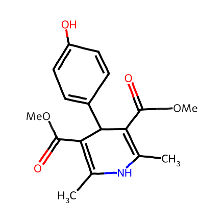 COC(=O)C1=C(C)NC(C)=C(C(=O)OC)C1c1ccc(O)cc1